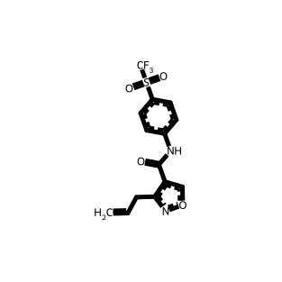 C=CCc1nocc1C(=O)Nc1ccc(S(=O)(=O)C(F)(F)F)cc1